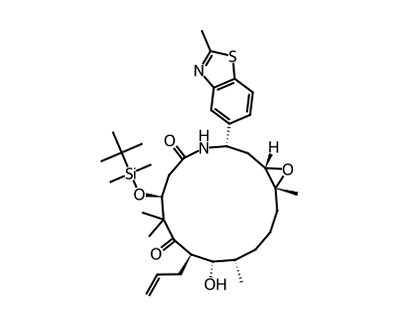 C=CC[C@H]1C(=O)C(C)(C)[C@@H](O[Si](C)(C)C(C)(C)C)CC(=O)N[C@H](c2ccc3sc(C)nc3c2)C[C@@H]2O[C@]2(C)CCC[C@H](C)[C@@H]1O